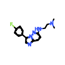 CN(C)CCNc1ccc2ncc(-c3ccc(F)cc3)n2n1